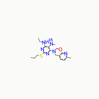 CCCSc1nc(NCC)c(NC)c(N(C=O)Cc2ccc(C)nc2)n1